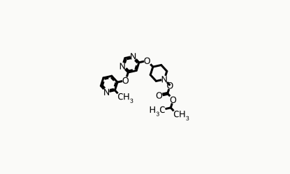 Cc1ncccc1Oc1cc(OC2CCN(OC(=O)OC(C)C)CC2)ncn1